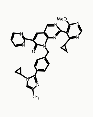 COc1ncnc(C2CC2)c1-c1ncc2cc(-c3ncccn3)c(=O)n(Cc3ccc(-c4nc(C(F)(F)F)cn4C4CC4)cc3)c2n1